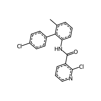 Cc1cccc(NC(=O)c2cccnc2Cl)c1-c1ccc(Cl)cc1